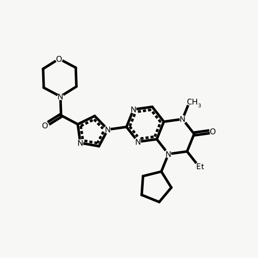 CCC1C(=O)N(C)c2cnc(-n3cnc(C(=O)N4CCOCC4)c3)nc2N1C1CCCC1